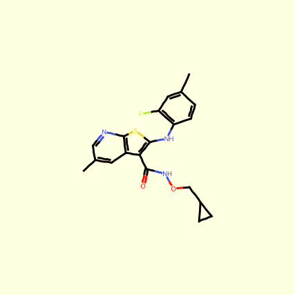 Cc1ccc(Nc2sc3ncc(C)cc3c2C(=O)NOCC2CC2)c(F)c1